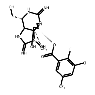 C[C@]1(O)[C@@H](OC(=O)c2cc(C(F)(F)F)cc(Cl)c2F)CN2C(=N)N[C@@H](CO)C3NC(=N)N(O)C321